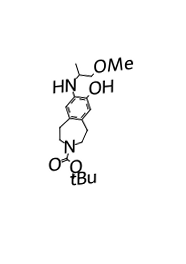 COCC(C)Nc1cc2c(cc1O)CCN(C(=O)OC(C)(C)C)CC2